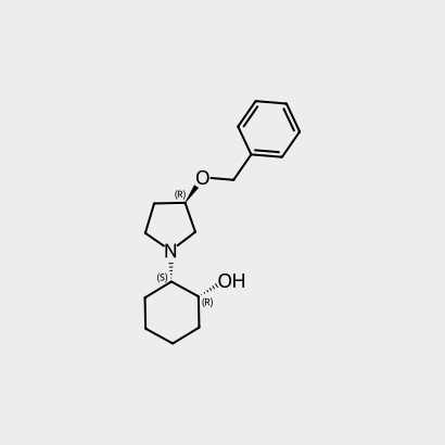 O[C@@H]1CCCC[C@@H]1N1CC[C@@H](OCc2ccccc2)C1